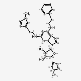 Cn1cnc(CCNc2nc(NCCc3ccccc3)c3ncn([C@@H]4O[C@H](c5nnn(C)n5)[C@@H](O)[C@H]4O)c3n2)c1